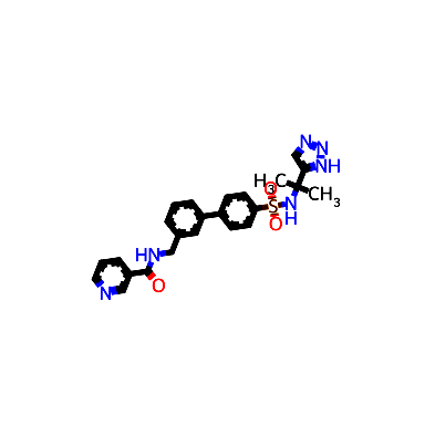 CC(C)(NS(=O)(=O)c1ccc(-c2cccc(CNC(=O)c3cccnc3)c2)cc1)c1cnn[nH]1